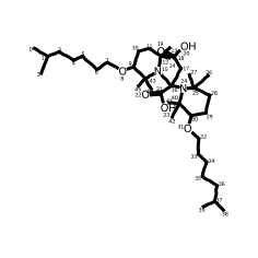 CC(C)CCCCCOC1CCC(C)(C)N(C(CC(=O)O)(C(=O)O)N2C(C)(C)CCC(OCCCCCC(C)C)C2(C)C)C1(C)C